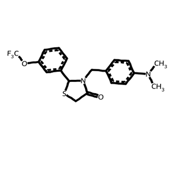 CN(C)c1ccc(CN2C(=O)CSC2c2cccc(OC(F)(F)F)c2)cc1